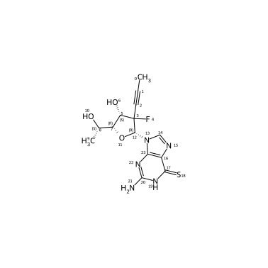 CC#CC1(F)[C@@H](O)[C@@H]([C@H](C)O)O[C@H]1n1cnc2c(=S)[nH]c(N)nc21